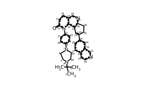 CC(C)(C)N1CCN(c2ccc(-n3c(=O)ccc4cnc5c(c43)C=C(c3ccc4ccncc4c3)CC5)cc2)CC1